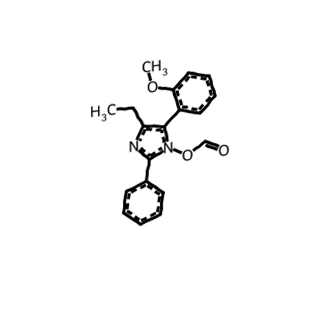 CCc1nc(-c2ccccc2)n(OC=O)c1-c1ccccc1OC